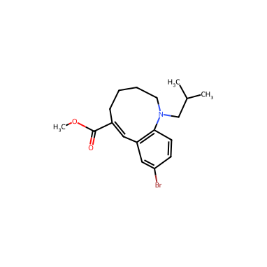 COC(=O)C1=Cc2cc(Br)ccc2N(CC(C)C)CCCC1